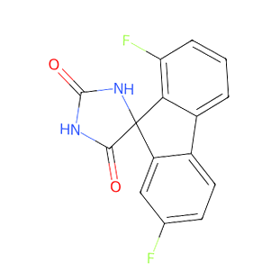 O=C1NC(=O)C2(N1)c1cc(F)ccc1-c1cccc(F)c12